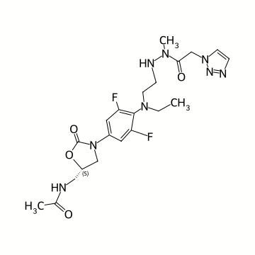 CCN(CCNN(C)C(=O)Cn1ccnn1)c1c(F)cc(N2C[C@H](CNC(C)=O)OC2=O)cc1F